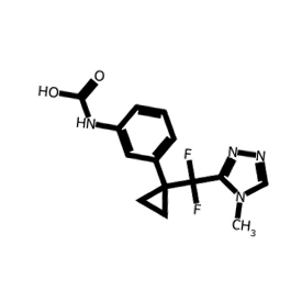 Cn1cnnc1C(F)(F)C1(c2cccc(NC(=O)O)c2)CC1